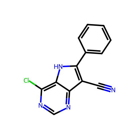 N#Cc1c(-c2ccccc2)[nH]c2c(Cl)ncnc12